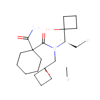 CC(C)C[C@@H](N(C(=O)C1(C(N)=O)CCCCC1)[C@H](CC(C)C)C1(O)CCC1)C1(O)CCC1